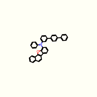 c1ccc(-c2ccc(-c3cccc(N(c4ccccc4)c4cccc5c4oc4c6ccccc6ccc54)c3)cc2)cc1